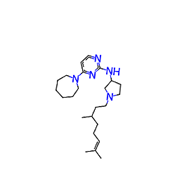 CC(C)=CCCC(C)CCN1CCC(Nc2nccc(N3CCCCCC3)n2)C1